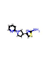 Nc1nc([C@H]2CCN(c3ccccn3)C2)cs1